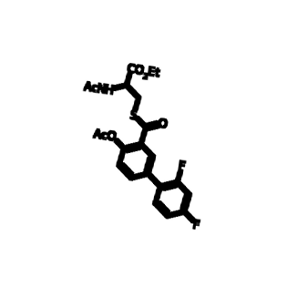 CCOC(=O)C(CSC(=O)c1cc(-c2ccc(F)cc2F)ccc1OC(C)=O)NC(C)=O